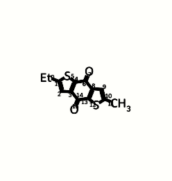 CCc1cc2c(s1)C(=O)c1cc(C)sc1C2=O